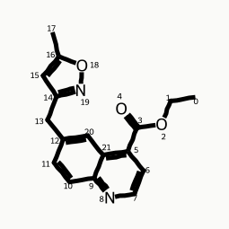 CCOC(=O)c1ccnc2ccc(Cc3cc(C)on3)cc12